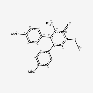 COc1ccc(-c2nn(CC(C)C)c(=O)c(C(=O)O)c2-c2ccc(OC)cc2)cc1